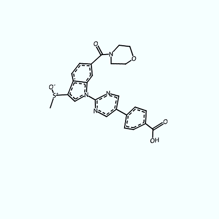 C[S+]([O-])c1cn(-c2ncc(-c3ccc(C(=O)O)cc3)cn2)c2cc(C(=O)N3CCOCC3)ccc12